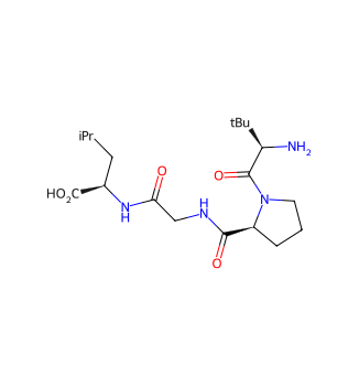 CC(C)C[C@@H](NC(=O)CNC(=O)[C@@H]1CCCN1C(=O)[C@H](N)C(C)(C)C)C(=O)O